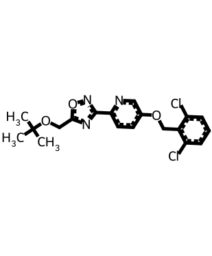 CC(C)(C)OCc1nc(-c2ccc(OCc3c(Cl)cccc3Cl)cn2)no1